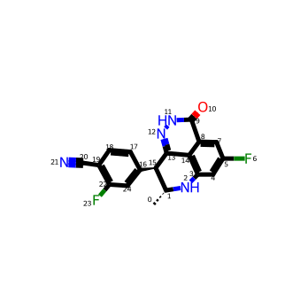 C[C@H]1Nc2cc(F)cc3c(=O)[nH]nc(c23)[C@@H]1c1ccc(C#N)c(F)c1